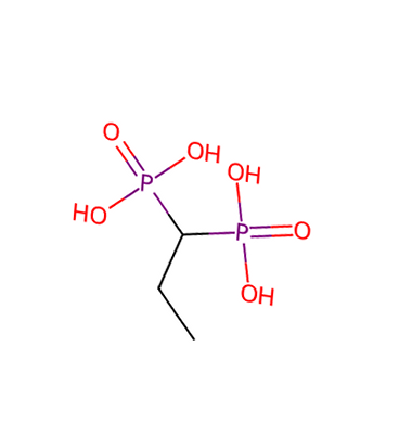 CCC(P(=O)(O)O)P(=O)(O)O